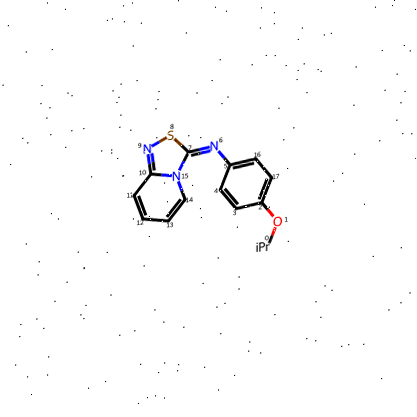 CC(C)Oc1ccc(/N=c2/snc3ccccn23)cc1